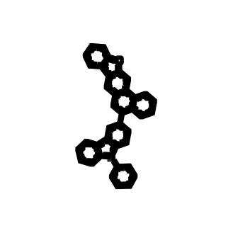 c1ccc(-n2c3ccccc3c3cc(-c4cc5cc6c(cc5c5ccccc45)oc4ccccc46)ccc32)cc1